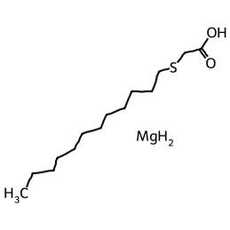 CCCCCCCCCCCCSCC(=O)O.[MgH2]